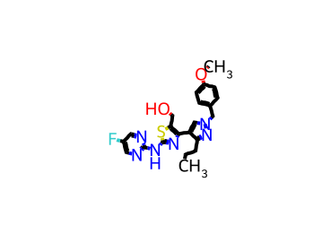 CCCc1nn(Cc2ccc(OC)cc2)cc1-c1nc(Nc2ncc(F)cn2)sc1CO